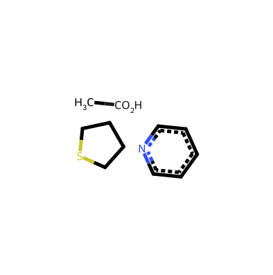 C1CCSC1.CC(=O)O.c1ccncc1